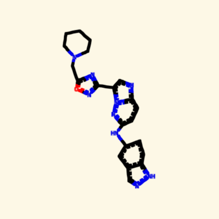 c1cc2[nH]ncc2cc1Nc1ccc2ncc(-c3noc(CN4CCCCC4)n3)n2n1